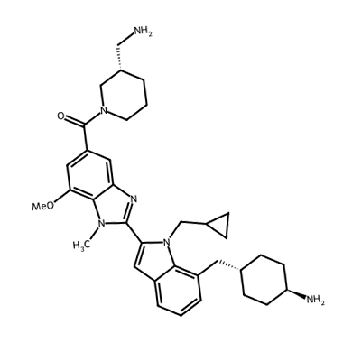 COc1cc(C(=O)N2CCC[C@@H](CN)C2)cc2nc(-c3cc4cccc(C[C@H]5CC[C@H](N)CC5)c4n3CC3CC3)n(C)c12